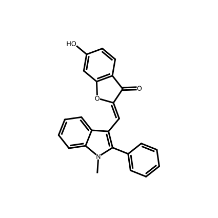 Cn1c(-c2ccccc2)c(C=C2Oc3cc(O)ccc3C2=O)c2ccccc21